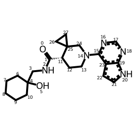 O=C(NCC1(O)CCCCC1)[C@H]1CCN(c2ncnc3[nH]ccc23)CC12CC2